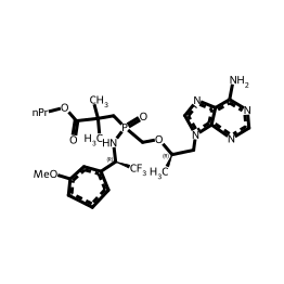 CCCOC(=O)C(C)(C)CP(=O)(CO[C@H](C)Cn1cnc2c(N)ncnc21)N[C@H](c1cccc(OC)c1)C(F)(F)F